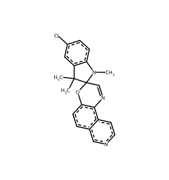 CN1c2ccc(Cl)cc2C(C)(C)C12C=Nc1c(ccc3cnccc13)O2